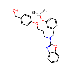 CC[C@@H](Oc1cccc(CN(CCCOc2ccc(CO)cc2)c2nc3ccccc3o2)c1)C(C)=O